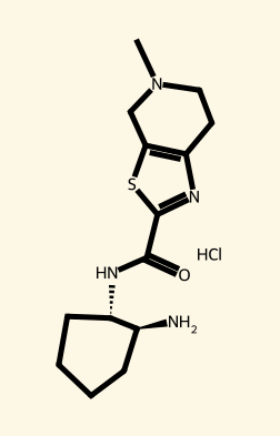 CN1CCc2nc(C(=O)N[C@H]3CCCC[C@@H]3N)sc2C1.Cl